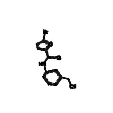 N#CCc1cccc(NC(=O)c2ccc(Br)o2)c1